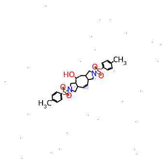 Cc1ccc(S(=O)(=O)N2CC3/C=C\C4CN(S(=O)(=O)c5ccc(C)cc5)CC4C(O)CC3C2)cc1